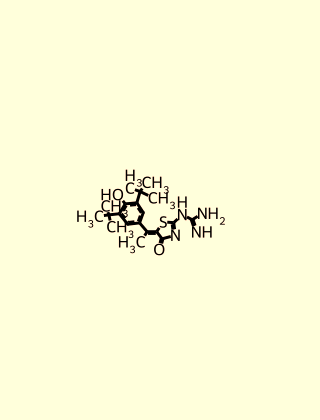 CC(=C1SC(NC(=N)N)=NC1=O)c1cc(C(C)(C)C)c(O)c(C(C)(C)C)c1